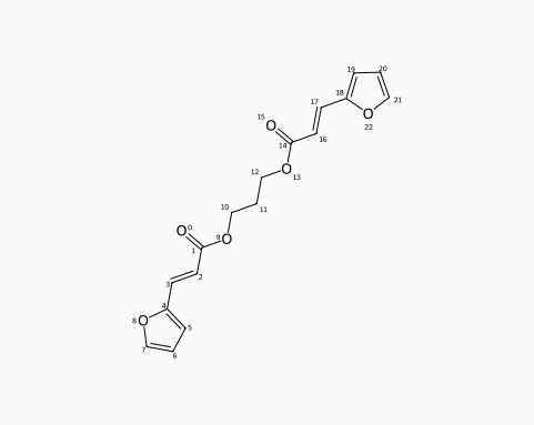 O=C(C=Cc1ccco1)OCCCOC(=O)C=Cc1ccco1